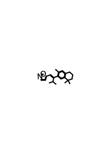 Cc1cc2c(cc1C(=Cc1ccno1)C(C)C)C(C)(C)CCC2